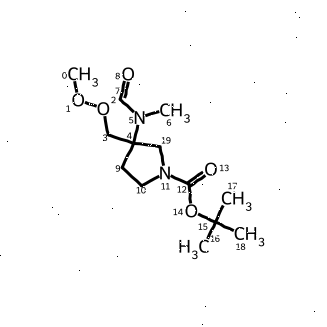 COOCC1(N(C)C=O)CCN(C(=O)OC(C)(C)C)C1